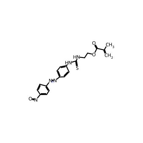 C=C(C)C(=O)OCCNC(=S)Nc1ccc(/N=N/c2ccc(N=O)cc2)cc1